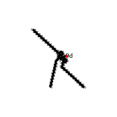 CCCCCCCCCCCCCCCCCCC#CC(=N/c1ccccc1CCC/C=C/CCCCCCCCCCCCCCCCCC)/C(CCCC)=N/c1ccccc1CCC/C=C/CCCCCCCCCCCCCCCCCC.[Pd]